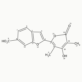 Cc1c(-c2cc3ccc(C(=O)O)cc3o2)oc(=O)c(C)c1O